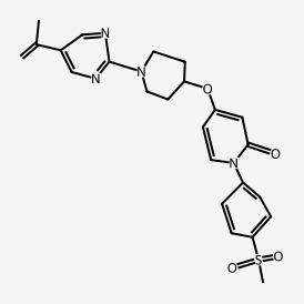 C=C(C)c1cnc(N2CCC(Oc3ccn(-c4ccc(S(C)(=O)=O)cc4)c(=O)c3)CC2)nc1